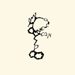 Cc1nn(C)c2c1-c1cccc3c(CCCOc4cccc5ccccc45)c(C(=O)O)n(c13)CCCCOCC2